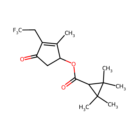 CC1=C(CC(F)(F)F)C(=O)CC1OC(=O)C1C(C)(C)C1(C)C